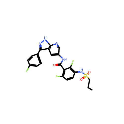 CCCS(=O)(=O)Nc1ccc(F)c(C(=O)Nc2cnc3[nH]nc(-c4ccc(F)cc4)c3c2)c1F